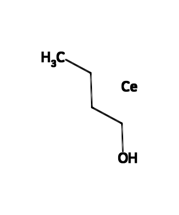 CCCCO.[Ce]